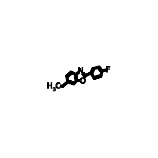 CCc1ccc2nc(-c3ccc(F)cc3)oc2c1